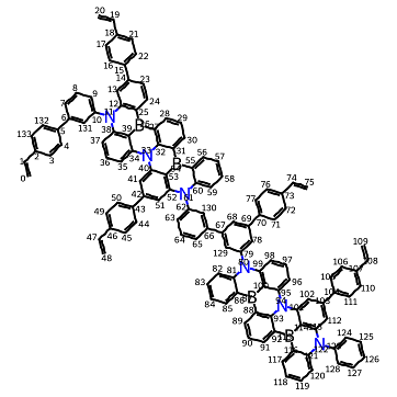 C=Cc1ccc(-c2cccc(N3c4cc(-c5ccc(C=C)cc5)ccc4B4c5cccc6c5N(c5cccc3c54)c3cc(-c4ccc(C=C)cc4)cc4c3B6c3ccccc3N4c3cccc(-c4cc(-c5ccc(C=C)cc5)cc(N5c6ccccc6B6c7cccc8c7N(c7cccc5c76)c5cc(-c6ccc(C=C)cc6)cc6c5B8c5ccccc5N6c5ccccc5)c4)c3)c2)cc1